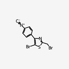 [C-]#[N+]c1ccc(-c2nc(CBr)sc2Br)cc1